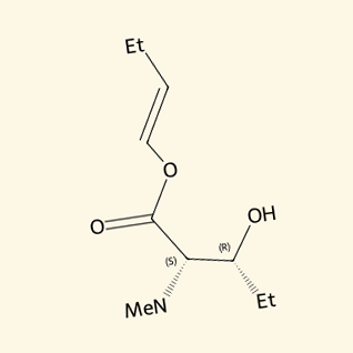 CCC=COC(=O)[C@@H](NC)[C@H](O)CC